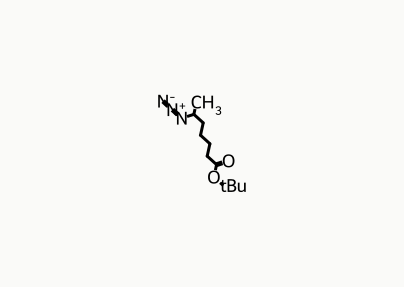 CC(CCCCC(=O)OC(C)(C)C)N=[N+]=[N-]